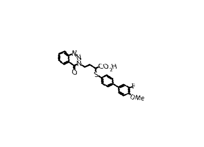 COc1ccc(-c2ccc(SC(CCn3nnc4ccccc4c3=O)C(=O)O)cc2)cc1F